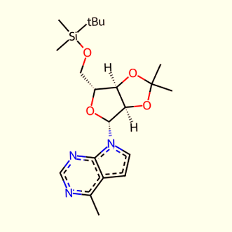 Cc1ncnc2c1ccn2[C@@H]1O[C@H](CO[Si](C)(C)C(C)(C)C)[C@H]2OC(C)(C)O[C@H]21